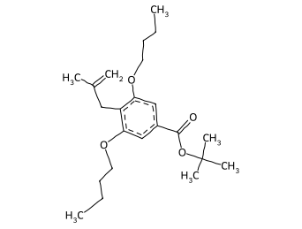 C=C(C)Cc1c(OCCCC)cc(C(=O)OC(C)(C)C)cc1OCCCC